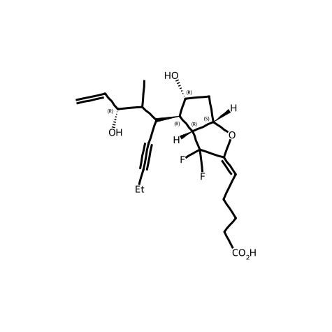 C=C[C@@H](O)C(C)C(C#CCC)[C@@H]1[C@@H]2[C@H](C[C@H]1O)OC(=CCCCC(=O)O)C2(F)F